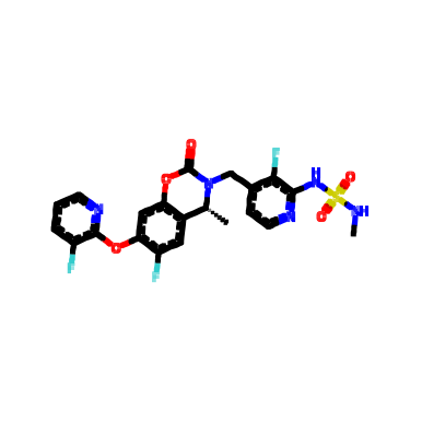 CNS(=O)(=O)Nc1nccc(CN2C(=O)Oc3cc(Oc4ncccc4F)c(F)cc3[C@H]2C)c1F